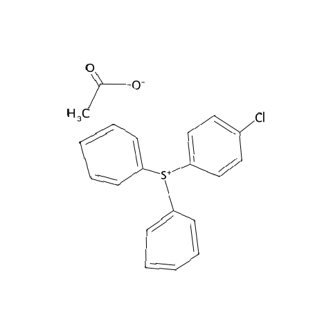 CC(=O)[O-].Clc1ccc([S+](c2ccccc2)c2ccccc2)cc1